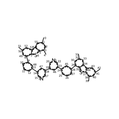 Cc1cc(C)c2sc3c(-c4cccc(-c5cncc(-c6cncc(-c7cccc(-c8cc(C)cc9c8sc8c(C)cc(C)cc89)c7)c6)c5)c4)cc(C)cc3c2c1